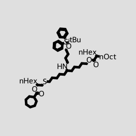 CCCCCCCCC(CCCCCC)C(=O)OCCCCCC(CCCCCSCC(CCCCCC)OC(=O)C1CCCCCC1)NCCCCO[Si](c1ccccc1)(c1ccccc1)C(C)(C)C